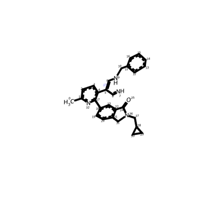 Cc1ccc(/C(C=N)=C/NCc2ccccc2)c(-c2ccc3c(c2)C(=O)N(CC2CC2)C3)n1